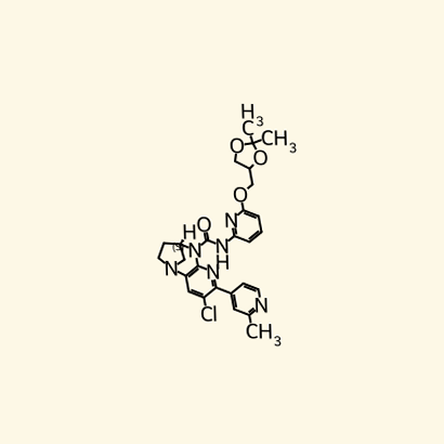 Cc1cc(-c2nc3c(cc2Cl)N2CC[C@@H](C2)N3C(=O)Nc2cccc(OCC3COC(C)(C)O3)n2)ccn1